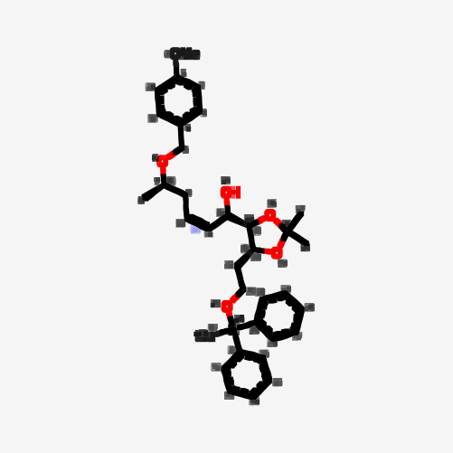 COc1ccc(CO[C@H](C)C/C=C\C(O)[C@H]2OC(C)(C)O[C@H]2CCO[Si](c2ccccc2)(c2ccccc2)C(C)(C)C)cc1